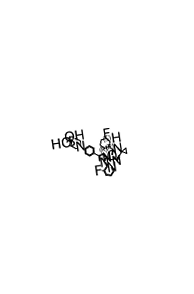 N#CC1(NC(=O)[C@@H]2C[C@@H](F)CC[C@H]2c2nn(-c3ncccc3F)cc2-c2ccc(N3CCS(O)(O)CC3)cc2)CC1